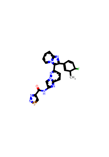 CC1C=C(c2nc3ccccn3c2-c2ccc3nc(NC(=O)c4csnn4)cn3n2)C=CC1F